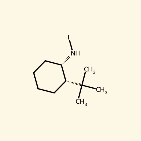 CC(C)(C)[C@@H]1CCCC[C@@H]1NI